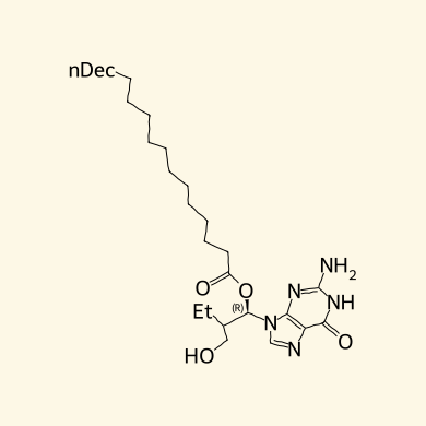 CCCCCCCCCCCCCCCCCCCCCC(=O)O[C@H](C(CC)CO)n1cnc2c(=O)[nH]c(N)nc21